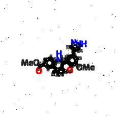 COC(=O)c1ccc2c(c1)C(C)(C)[C@H]1COc3c(OC)cc(-c4cn[nH]c4)cc3[C@H]1N2